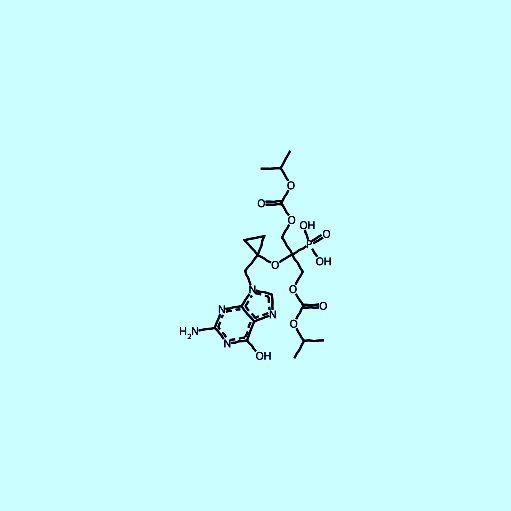 CC(C)OC(=O)OCC(COC(=O)OC(C)C)(OC1(Cn2cnc3c(O)nc(N)nc32)CC1)P(=O)(O)O